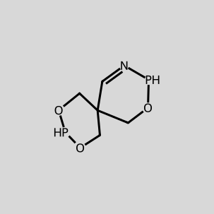 C1=NPOCC12COPOC2